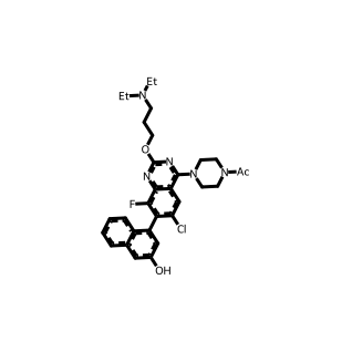 CCN(CC)CCCOc1nc(N2CCN(C(C)=O)CC2)c2cc(Cl)c(-c3cc(O)cc4ccccc34)c(F)c2n1